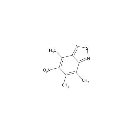 Cc1c([N+](=O)[O-])c(C)c2nsnc2c1C